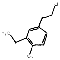 C[CH]c1cc(CCCl)ccc1O